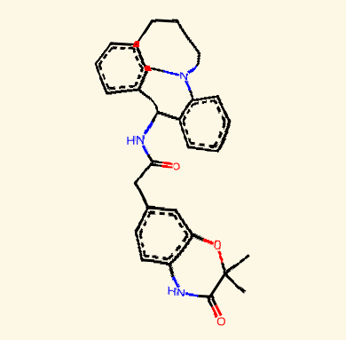 CC1(C)Oc2cc(CC(=O)NC(c3ccccc3)c3ccccc3N3CCCCC3)ccc2NC1=O